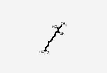 CCC(O)C(O)CCCCCCCC(=O)O